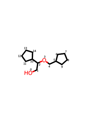 OCC(OCC1CCCC1)C1CCCC1